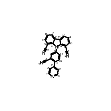 N#Cc1cc(-n2c3c(C#N)cccc3c3cccc(C#N)c32)ccc1-c1ccncc1